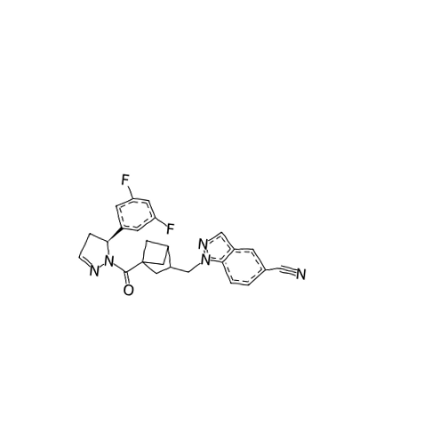 N#Cc1ccc2c(cnn2CC2CC3(C(=O)N4N=CC[C@H]4c4cc(F)cc(F)c4)CC2C3)c1